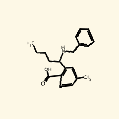 CCCCC(NCc1ccccc1)c1cc(C)ccc1C(=O)O